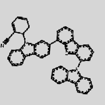 N#CC1=CC=CCC1n1c2ccccc2c2ccc(-c3cccc4c3oc3c(-n5c6ccccc6c6ccccc65)cccc34)cc21